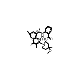 COC1(C)CCN(c2nc3c([C@@H](C)Nc4ccccc4C(=O)O)cc(C)cn3c(=O)c2C)CC1